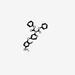 Nc1ccc(Oc2ccnc(N(C(=O)Oc3ccccc3)C(=O)Oc3ccccc3)c2)c(F)c1